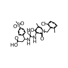 Cc1cn(Cc2c(C)cccc2Cl)c(=O)c(NC(=O)NC(CC(=O)O)c2ccc(S(C)(=O)=O)cc2)c1O